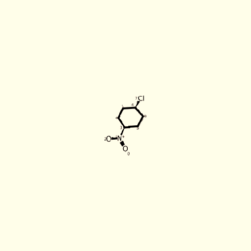 O=[N+]([O-])[C@H]1CC[C@@H](Cl)CC1